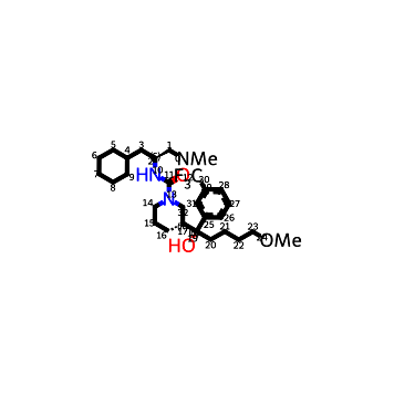 CNC[C@H](CC1CCCCC1)NC(=O)N1CCC[C@@H]([C@@](O)(CCCCOC)c2cccc(C(F)(F)F)c2)C1